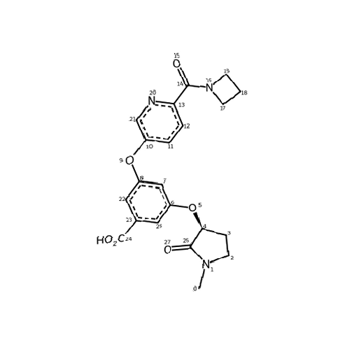 CN1CC[C@H](Oc2cc(Oc3ccc(C(=O)N4CCC4)nc3)cc(C(=O)O)c2)C1=O